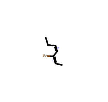 C/C=C(Br)\C=C/CC